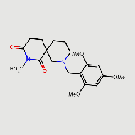 COc1cc(OC)c(CN2CCCC3(CCC(=O)N(C(=O)O)C3=O)C2)c(OC)c1